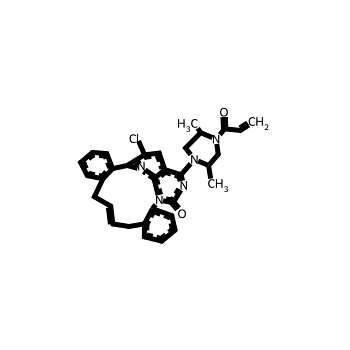 C=CC(=O)N1CC(C)N(c2nc(=O)n3c4nc(c(Cl)cc24)-c2ccccc2C/C=C/Cc2ccccc2-3)CC1C